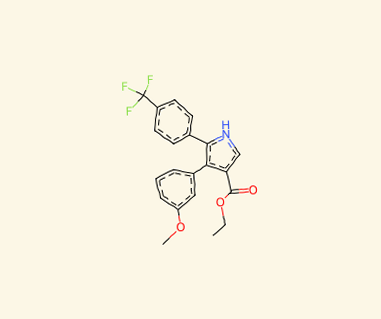 CCOC(=O)c1c[nH]c(-c2ccc(C(F)(F)F)cc2)c1-c1cccc(OC)c1